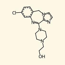 OCCN1CCN(C2=Nc3cc(Cl)ccc3Cn3ccnc32)CC1